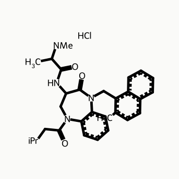 CNC(C)C(=O)NC1CN(C(=O)CC(C)C)c2ccccc2N(Cc2c(C)ccc3ccccc23)C1=O.Cl